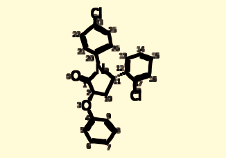 O=C1[C@H](Oc2ccccc2)C[C@@H](c2ccccc2Cl)N1c1ccc(Cl)cc1